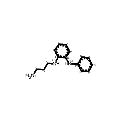 NCCCNc1ccccc1Nc1ccccc1